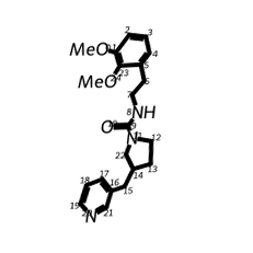 COc1cccc(CCNC(=O)N2CCC(Cc3cccnc3)C2)c1OC